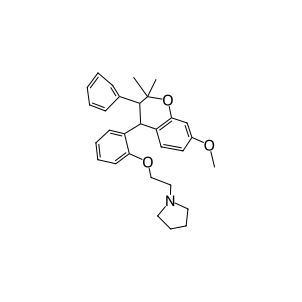 COc1ccc2c(c1)OC(C)(C)C(c1ccccc1)C2c1ccccc1OCCN1CCCC1